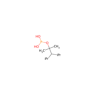 CC(C)C(C(C)C)C(C)(C)OP(O)O